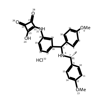 COc1ccc(C(N[C@H](C)c2ccc(OC)cc2)c2cccc(Nc3c(O)c(=O)c3=O)c2)cc1.Cl